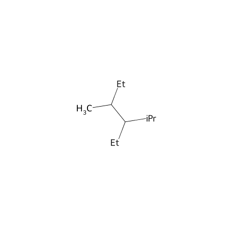 CCC(C)C(CC)C(C)C